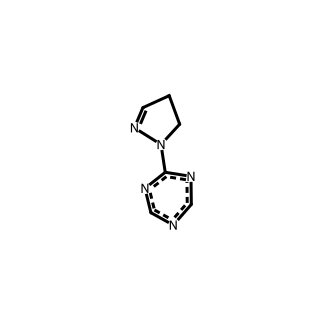 C1=NN(c2ncncn2)CC1